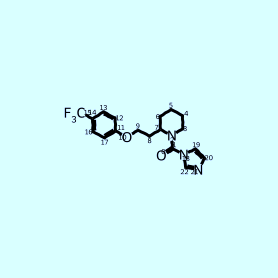 O=C(N1CCCCC1CCOc1ccc(C(F)(F)F)cc1)n1ccnc1